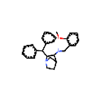 COc1ccccc1CNC1C2CCN(C2)C1C(c1ccccc1)c1ccccc1